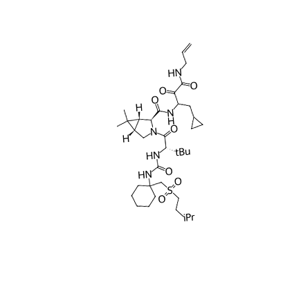 C=CCNC(=O)C(=O)C(CC1CC1)NC(=O)[C@@H]1[C@@H]2[C@H](CN1C(=O)[C@@H](NC(=O)NC1(CS(=O)(=O)CCC(C)C)CCCCC1)C(C)(C)C)C2(C)C